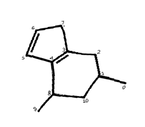 CC1CC2=C(C=C[CH]2)C(C)C1